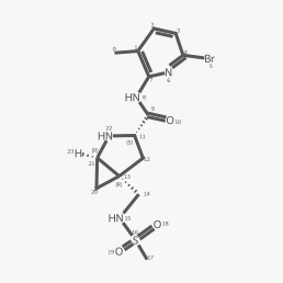 Cc1ccc(Br)nc1NC(=O)[C@@H]1C[C@@]2(CNS(C)(=O)=O)C[C@H]2N1